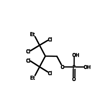 CCC(Cl)(Cl)C(COP(=O)(O)O)C(Cl)(Cl)CC